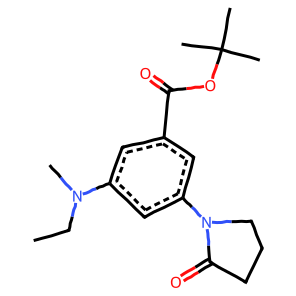 CCN(C)c1cc(C(=O)OC(C)(C)C)cc(N2CCCC2=O)c1